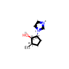 CC[C@@H]1CC[C@@H](n2ccnc2)[C@@H]1O